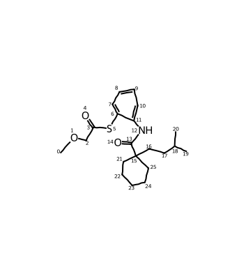 COCC(=O)Sc1ccccc1NC(=O)C1(CCC(C)C)CCCCC1